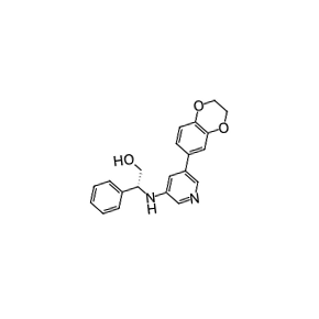 OC[C@H](Nc1cncc(-c2ccc3c(c2)OCCO3)c1)c1ccccc1